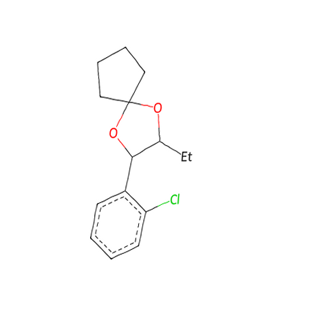 [CH2]CC1OC2(CCCC2)OC1c1ccccc1Cl